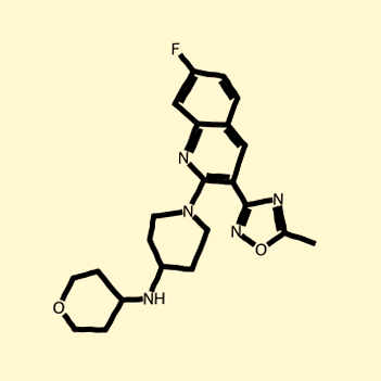 Cc1nc(-c2cc3ccc(F)cc3nc2N2CCC(NC3CCOCC3)CC2)no1